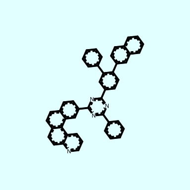 c1ccc(-c2nc(-c3ccc(-c4ccc5ccccc5c4)c(-c4ccccc4)c3)nc(-c3ccc4ccc5ccc6ncccc6c5c4c3)n2)cc1